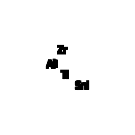 [Al].[Sn].[Ti].[Zr]